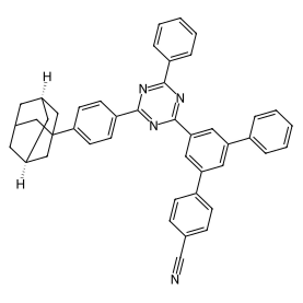 N#Cc1ccc(-c2cc(-c3ccccc3)cc(-c3nc(-c4ccccc4)nc(-c4ccc(C56CC7C[C@H](C5)C[C@@H](C7)C6)cc4)n3)c2)cc1